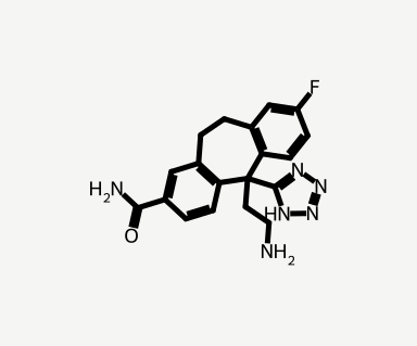 NCCC1(c2nnn[nH]2)c2ccc(F)cc2CCc2cc(C(N)=O)ccc21